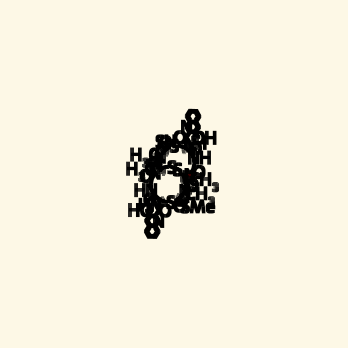 CSC[C@H]1C(=O)SC[C@@H](NC(=O)c2nc3ccccc3cc2O)C(=O)NCC(=O)N(C)[C@H]2CSSC[C@@H](C(=O)N1C)N(C)C(=O)CNC(=O)[C@H](NC(=O)c1nc3ccccc3cc1O)CSC(=O)[C@H](CS)N(C)C2=O